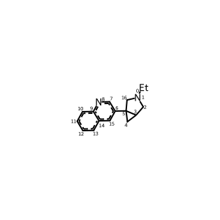 CCN1CC2CC2(c2cnc3ccccc3c2)C1